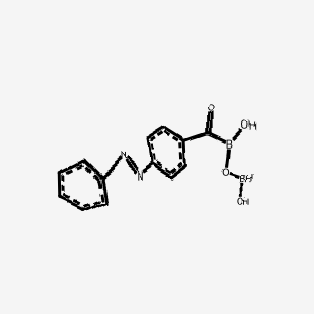 O=C(B(O)OBO)c1ccc(N=Nc2ccccc2)cc1